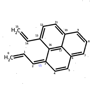 C=C/C=c1/ccc2cccc3ccc(C=C)c1c32